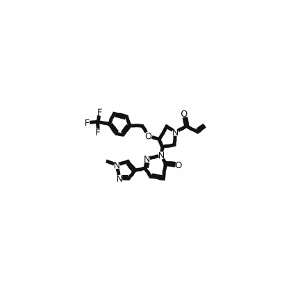 C=CC(=O)N1CC(OCc2ccc(C(F)(F)F)cc2)C(n2nc(-c3cnn(C)c3)ccc2=O)C1